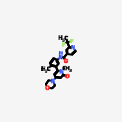 Cc1ccc(NC(=O)c2ccnc(C(C)(F)F)c2)cc1-c1cc(N2CCOCC2)cc(=O)n1C